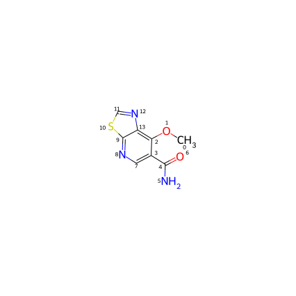 COc1c(C(N)=O)cnc2s[c]nc12